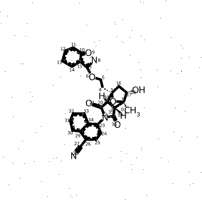 C[C@]12O[C@](CCOc3noc4ccccc34)(C[C@@H]1O)[C@H]1C(=O)N(c3ccc(C#N)c4ccccc34)C(=O)[C@H]12